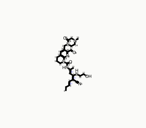 CC/C=C/C(C#N)=C(\C=C(/C)NC(=O)N1CCCc2cc(CN3CCN(C)CC3=O)c(C=O)nc21)NCCO